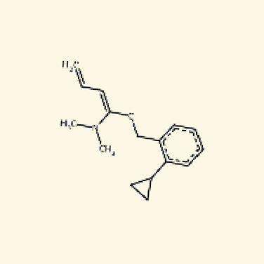 C=C/C=C(/OCc1ccccc1C1CC1)N(C)C